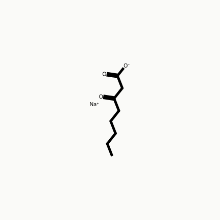 CCCCCC(=O)CC(=O)[O-].[Na+]